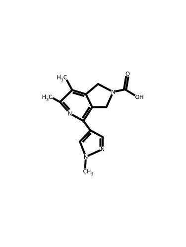 Cc1nc(-c2cnn(C)c2)c2c(c1C)CN(C(=O)O)C2